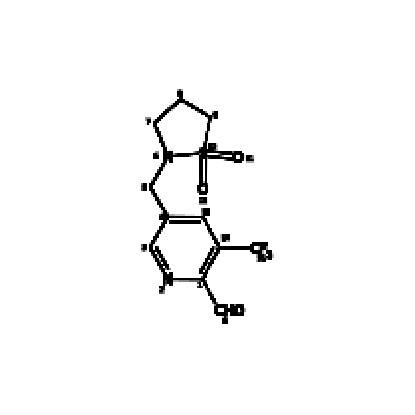 O=Cc1ncc(CN2CCCS2(=O)=O)cc1C(F)(F)F